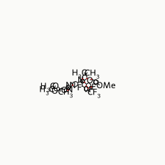 COc1ccc(COC2CC(C)(C)Cc3nc(C4CCN(c5ncc(OCC6(C)COC(C)(C)OC6)cn5)CC4)c(C(F)c4ccc(C(F)(F)F)cc4)c(C4CCC(F)(F)CC4)c32)cc1